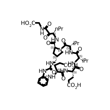 CCC[C@H](NC(=O)[C@@H]1C[C@@H](CNC(=O)Nc2ccccc2)CN1C(=O)[C@@H](NC(=O)[C@@H](NC(=O)[C@H](CCC(=O)O)NC(=O)[C@H](CCC(=O)O)NC(C)=O)C(C)C)C(C)C)C(=O)C(=O)NCC(=O)O